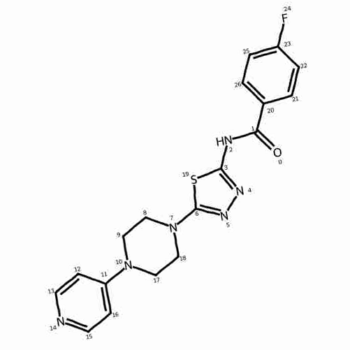 O=C(Nc1nnc(N2CCN(c3ccncc3)CC2)s1)c1ccc(F)cc1